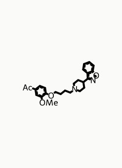 COc1cc(C(C)=O)ccc1OCCCCN1CCC(c2noc3ccccc23)CC1